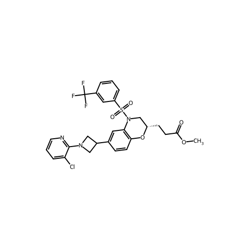 COC(=O)CC[C@H]1CN(S(=O)(=O)c2cccc(C(F)(F)F)c2)c2cc(C3CN(c4ncccc4Cl)C3)ccc2O1